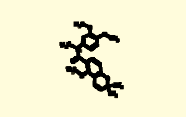 COc1ccc([C@H](C)C(=O)c2ccc3c(c2OC)C=CC(C)(C)O3)cc1OC